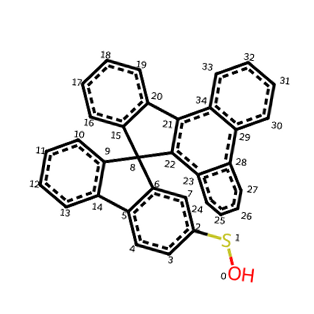 OSc1ccc2c(c1)C1(c3ccccc3-2)c2ccccc2-c2c1c1ccccc1c1ccccc21